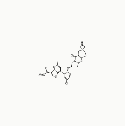 COC(=O)c1csc2c(-c3cc(Cl)ccc3OCCn3c(C)nc4c(c3=O)CC3(CC4)CNC3)cc(C)nc12